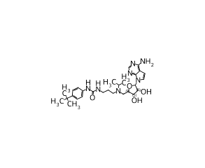 CC(C)N(CCCNC(=O)Nc1ccc(C(C)(C)C)cc1)C[C@H]1OC(n2ccc3c(N)ncnc32)[C@H](O)[C@@H]1O